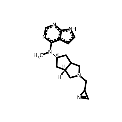 CN(c1ncnc2[nH]ccc12)[C@@H]1CC2CN(CC3C=N3)C[C@@H]2C1